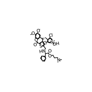 COc1ccc([C@H](Cc2c(Cl)c[n+](O)cc2Cl)c2cc(CNC(C(=O)OCCCN(C)C)c3ccccc3)sc2C(=O)[O-])cc1OC